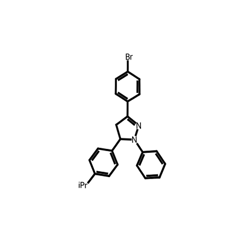 CC(C)c1ccc(C2CC(c3ccc(Br)cc3)=NN2c2ccccc2)cc1